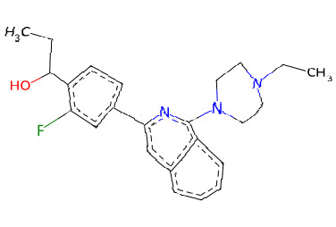 CCC(O)c1ccc(-c2cc3ccccc3c(N3CCN(CC)CC3)n2)cc1F